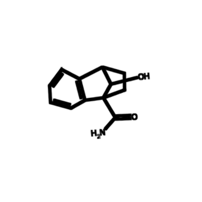 NC(=O)C12CCC(c3[c]cccc31)C2O